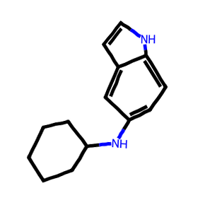 c1cc2cc(NC3CCCCC3)ccc2[nH]1